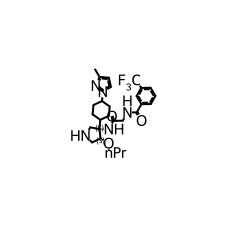 CCCO[C@H]1CNC[C@@]1(NC(=O)CNC(=O)c1cccc(C(F)(F)F)c1)C1CCC(n2ccc(C)n2)CC1